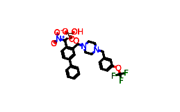 O=C(c1cc(-c2ccccc2)ccc1C([N+](=O)[O-])S(=O)(=O)O)N1CCN(Cc2cccc(OC(F)(F)F)c2)CC1